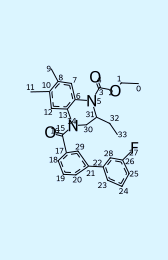 CCOC(=O)N1c2cc(C)c(C)cc2N(C(=O)c2cccc(-c3cccc(F)c3)c2)CC1CC